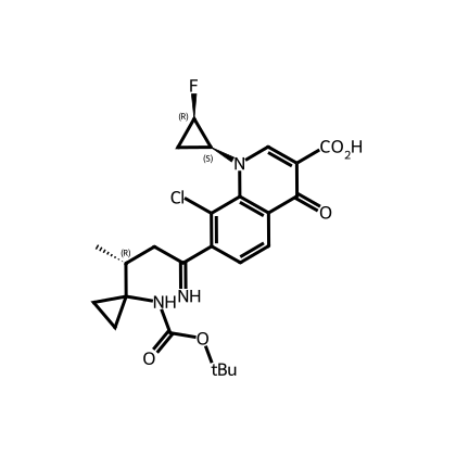 C[C@H](CC(=N)c1ccc2c(=O)c(C(=O)O)cn([C@H]3C[C@H]3F)c2c1Cl)C1(NC(=O)OC(C)(C)C)CC1